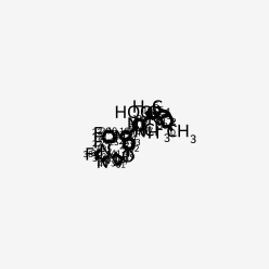 CC1CC2CC(C)C(NC(=O)c3cnc(-c4cn(C5CCC(F)(F)CC5)c5cc(O[C@H]6CCN(c7ncc(F)cn7)C6)ccc45)nc3C(F)(F)F)(C(=O)O)C(C1)C2